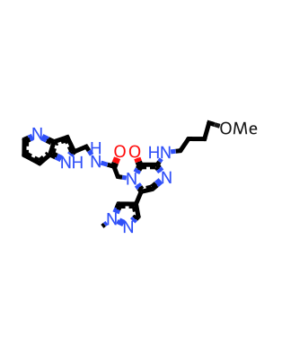 COCCCCNc1ncc(-c2cnn(C)c2)n(CC(=O)NCc2cc3ncccc3[nH]2)c1=O